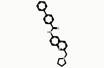 O=C(Nc1ccc2nc(CN3CCCC3)ccc2c1)c1ccc(-c2ccccc2)cc1